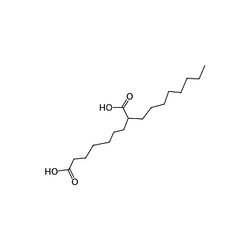 CCCCCCCCC(CCCCCCC(=O)O)C(=O)O